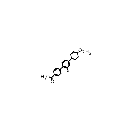 COC1CCC(c2ccc(-c3ccc(C(C)=O)cc3)c(F)c2)CC1